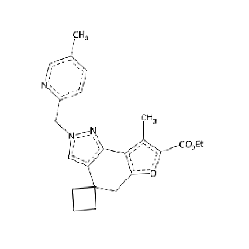 CCOC(=O)c1oc2c(c1C)-c1nn(Cc3ccc(C)cn3)cc1C1(CCC1)C2